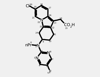 CCCN(c1ncc(F)cn1)C1CCc2c(CC(=O)O)c3ccc(Cl)cn3c2C1